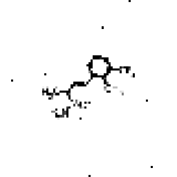 Cc1c(C=CC(C)[S+](N)[O-])cccc1C(F)(F)F